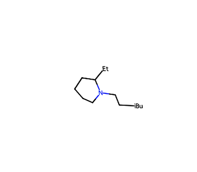 CCC(C)CCN1CCCCC1CC